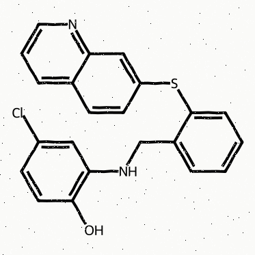 Oc1ccc(Cl)cc1NCc1ccccc1Sc1ccc2cccnc2c1